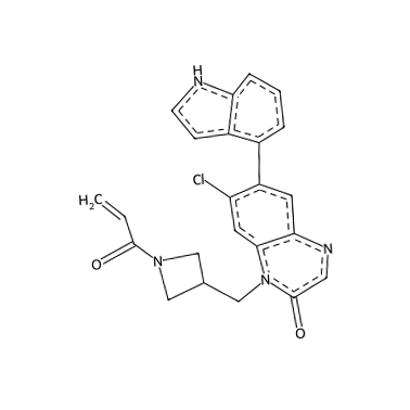 C=CC(=O)N1CC(Cn2c(=O)cnc3cc(-c4cccc5[nH]ccc45)c(Cl)cc32)C1